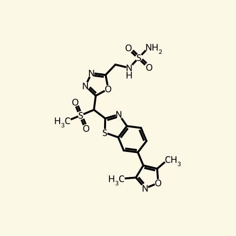 Cc1noc(C)c1-c1ccc2nc(C(c3nnc(CNS(N)(=O)=O)o3)S(C)(=O)=O)sc2c1